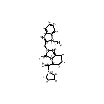 Cn1c(Cn2nc3n(c2=O)C(C(=O)N2CCCC2)CCC3)nc2ccccc21